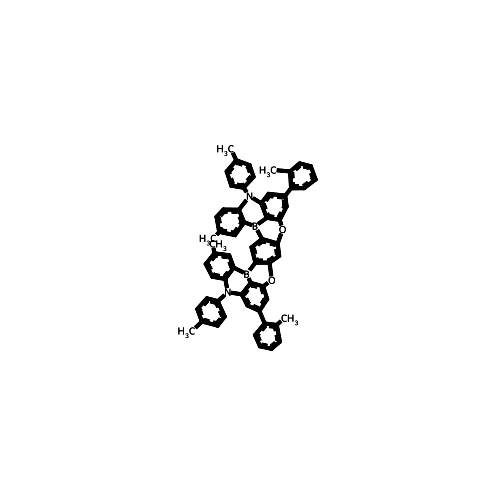 Cc1ccc(N2c3ccc(C)cc3B3c4cc5c(cc4Oc4cc(-c6ccccc6C)cc2c43)Oc2cc(-c3ccccc3C)cc3c2B5c2cc(C)ccc2N3c2ccc(C)cc2)cc1